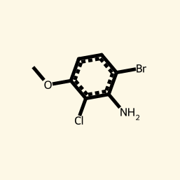 COc1ccc(Br)c(N)c1Cl